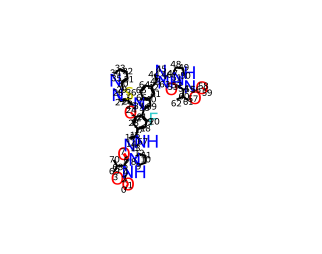 COC(=O)N[C@H](C(=O)N1CCC[C@H]1c1ncc(-c2cc(F)c3c(c2)OC(c2cnc(-c4ccccn4)s2)n2c-3cc3cc(-c4cnc([C@@H]5CCCN5C(=O)[C@@H](NC(=O)OC)C(C)C)[nH]4)ccc32)[nH]1)C(C)C